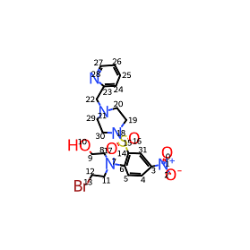 O=[N+]([O-])c1ccc(N(CCO)CCBr)c(S(=O)(=O)N2CCN(Cc3ccccn3)CC2)c1